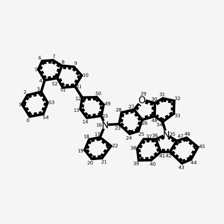 c1ccc(-c2cccc3ccc(-c4ccc(N(c5ccccc5)c5ccc6c(c5)oc5cccc(-n7c8ccccc8c8ccccc87)c56)cc4)cc23)cc1